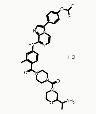 Cc1cc(Nc2nccn3c(-c4ccc(OC(F)F)cc4)cnc23)ccc1C(=O)N1CCN(C(=O)N2CCOC(C(C)N)C2)CC1.Cl